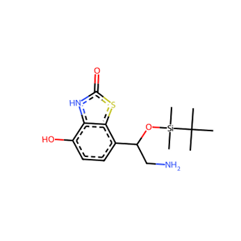 CC(C)(C)[Si](C)(C)OC(CN)c1ccc(O)c2[nH]c(=O)sc12